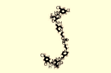 O=C(NCC1CCN(CCCO[N+](=O)OCCCN2CCC(CNC(=O)c3cnc(Nc4ccc(Cl)cc4Cl)nc3C(F)(F)F)CC2)CC1)c1cnc(Nc2ccc(Cl)cc2Cl)nc1C(F)(F)F